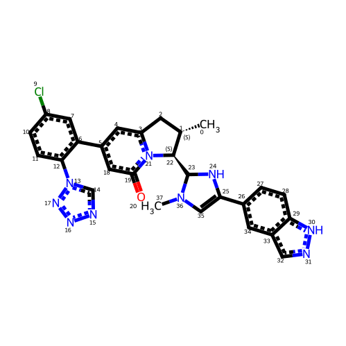 C[C@H]1Cc2cc(-c3cc(Cl)ccc3-n3cnnn3)cc(=O)n2[C@@H]1C1NC(c2ccc3[nH]ncc3c2)=CN1C